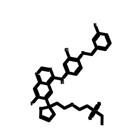 CCS(=O)(=O)CCOCCC1(c2cc3c(Nc4ccc(OCc5cccc(F)c5)c(Cl)c4)ncnc3cc2F)CC=CO1